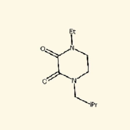 CCN1CCN(CC(C)C)C(=O)C1=O